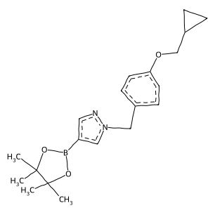 CC1(C)OB(c2cnn(Cc3ccc(OCC4CC4)cc3)c2)OC1(C)C